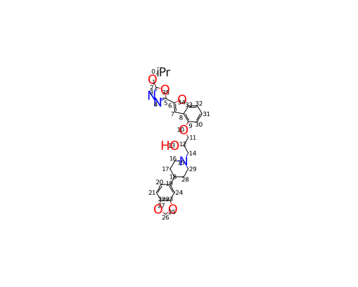 CC(C)Oc1nnc(-c2cc3c(OC[C@@H](O)CN4CCC(c5ccc6c(c5)OCO6)CC4)cccc3o2)o1